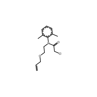 C=CCOCCN(C(=O)CCl)c1c(C)cccc1C